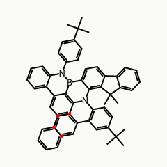 CC(C)(C)c1ccc(N2B3c4ccc5c(c4N(c4ccc(C(C)(C)C)cc4-c4ccccc4)c4cc(-c6ccccc6)cc(c43)-c3ccccc32)C(C)(C)c2ccccc2-5)cc1